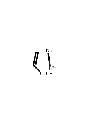 C=CC(=O)O.CC[CH2][Na]